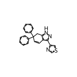 C1=CC(c2ccccc2)(c2ccccc2)Cc2[nH]nc(-c3cscn3)c21